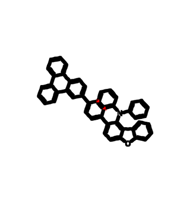 c1ccc(N(c2ccccc2)c2c(-c3ccc(-c4ccc5c6ccccc6c6ccccc6c5c4)cc3)ccc3oc4ccccc4c23)cc1